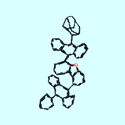 c1ccc(-c2c3ccccc3c(-c3cccc4oc5c(-c6c7ccccc7c(C7C8CC9CC(C8)CC7C9)c7ccccc67)cccc5c34)c3ccccc23)cc1